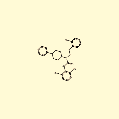 CC(C)c1cccc(C(C)C)c1NC(=O)N(CCc1ccccc1Cl)C1CCC(c2ccccc2)CC1